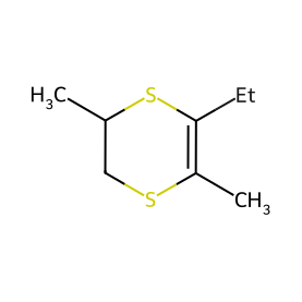 CCC1=C(C)SCC(C)S1